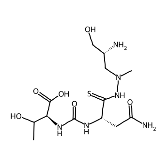 CC(O)[C@H](NC(=O)N[C@@H](CC(N)=O)C(=S)NN(C)C[C@@H](N)CO)C(=O)O